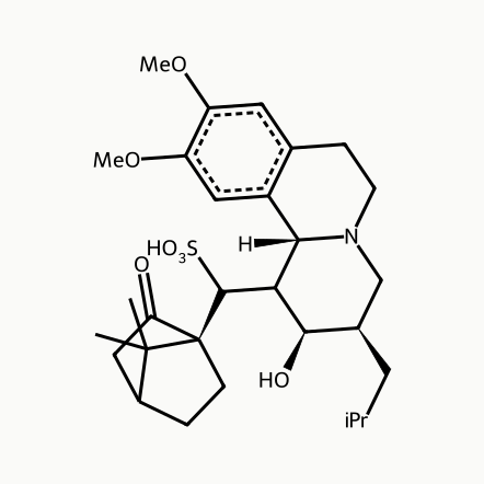 COc1cc2c(cc1OC)[C@H]1C(C([C@]34CCC(CC3=O)C4(C)C)S(=O)(=O)O)[C@H](O)[C@H](CC(C)C)CN1CC2